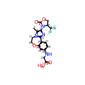 Cc1c(N2C(=O)OCC2C(F)F)nc2n1CCOc1cc(NCC(=O)O)ccc1-2